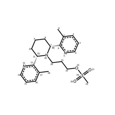 Cc1cccnc1[C@H]1CCC[C@@H](c2ncccc2C)N1CCCOS(C)(=O)=O